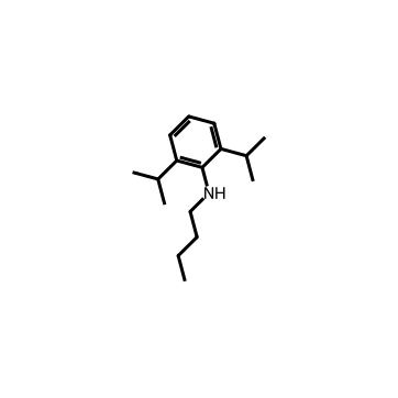 CCCCNc1c(C(C)C)cccc1C(C)C